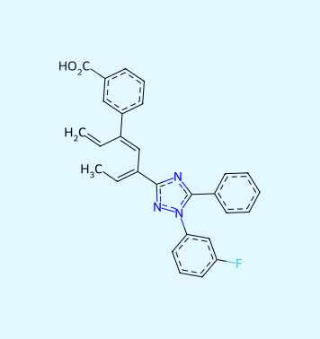 C=C/C(=C\C(=C/C)c1nc(-c2ccccc2)n(-c2cccc(F)c2)n1)c1cccc(C(=O)O)c1